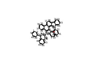 c1ccc(-c2nc(-n3c4ccccc4c4c5c(ccc6c7ccccc7n(-c7ccccc7)c65)c5ccccc5c43)nc3ccccc23)cc1